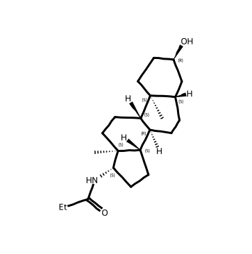 CCC(=O)N[C@H]1CC[C@H]2[C@@H]3CC[C@H]4C[C@H](O)CC[C@]4(C)[C@H]3CC[C@]12C